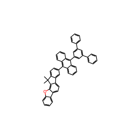 CC1(C)c2ccc(-c3c4ccccc4c(-c4cc(-c5ccccc5)cc(-c5ccccc5)c4)c4ccccc34)cc2-c2ccc3c(oc4ccccc43)c21